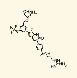 C[C@H](NCCCNC(=N)N)c1ccc(-n2cc3cc(-c4cc(CO[C@H](CN)CO)cc(SC(F)(F)F)c4)[nH]c3nc2=O)cc1